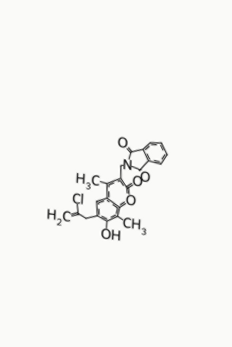 C=C(Cl)Cc1cc2c(C)c(CN3C(=O)c4ccccc4C3=O)c(=O)oc2c(C)c1O